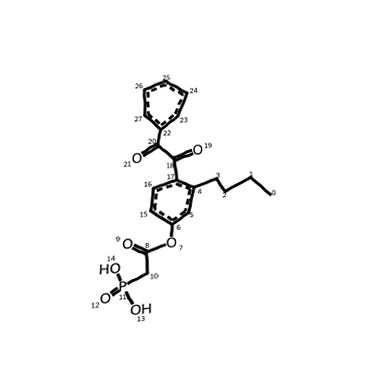 CCCCc1cc(OC(=O)CP(=O)(O)O)ccc1C(=O)C(=O)c1ccccc1